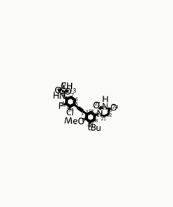 COc1c(C#Cc2ccc(NS(C)(=O)=O)c(F)c2Cl)cc(N2CCC(=O)NC2=O)cc1C(C)(C)C